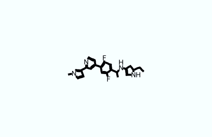 CCC1CC(NC(C)c2cc(F)c(-c3ccnc(-c4ccn(C)c4)c3)cc2F)=CN1